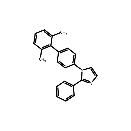 Cc1cccc(C)c1-c1ccc(-n2ccnc2-c2ccccc2)cc1